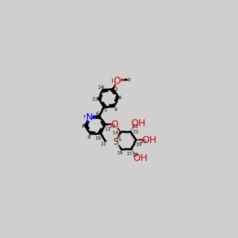 COc1ccc(-c2nccc(C)c2O[C@@H]2SC[C@@H](O)[C@H](O)[C@H]2O)cc1